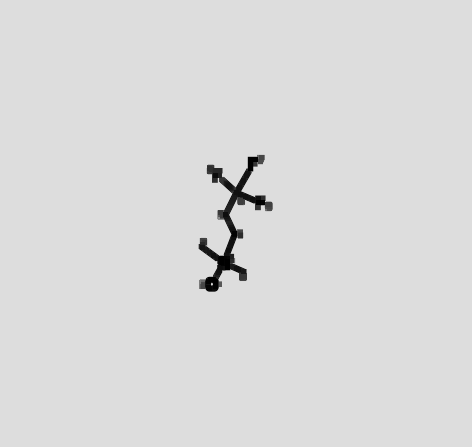 C[Si](C)([O])CCC(F)(F)F